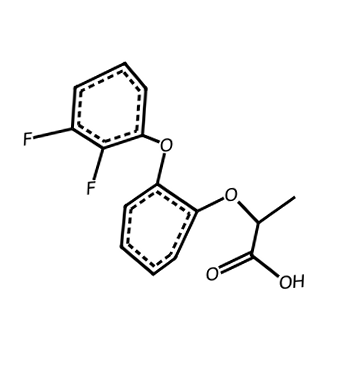 CC(Oc1ccccc1Oc1cccc(F)c1F)C(=O)O